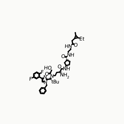 CCC1C(C)C1CC(=O)NCCNC(=O)[C@@H]1CC[C@@H](NC(=O)[C@@H](N)CCN(C(=O)CO)[C@@H](c2nc(-c3cc(F)ccc3F)cn2Cc2ccccc2)C(C)(C)C)C1